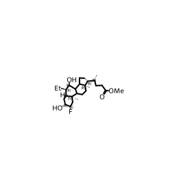 CC[C@H]1[C@@H](O)C2C3CC[C@H]([C@H](C)CCC(=O)OC)[C@@]3(C)CCC2[C@@]2(C)C[C@H](F)[C@H](O)C[C@@H]12